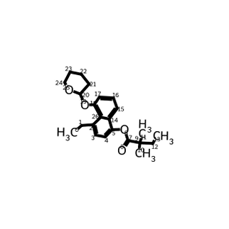 CCc1ccc(OC(=O)C(C)(C)CC)c2cccc(OC3CCCCO3)c12